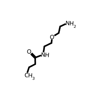 CCCC(=O)NCCOCCN